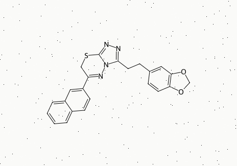 c1ccc2cc(C3=Nn4c(CCc5ccc6c(c5)OCO6)nnc4SC3)ccc2c1